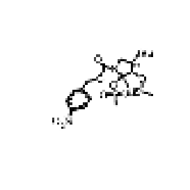 C[SiH](C)OC1[C@H](C(C)(C)C)CN(C(=O)OCc2ccc([N+](=O)[O-])cc2)[C@@]1(C)OS(C)(=O)=O